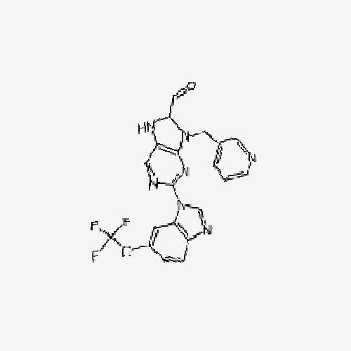 O=CC1Nc2cnc(-n3cnc4ccc(OC(F)(F)F)cc43)nc2N1Cc1cccnc1